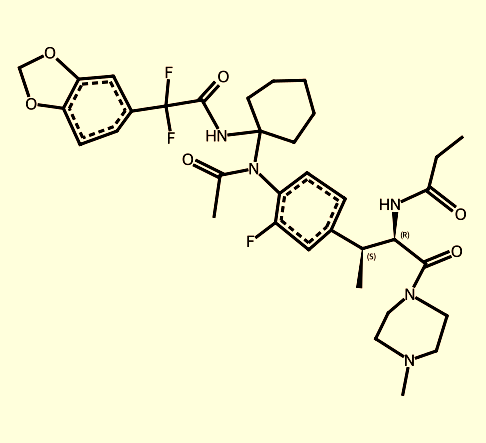 CCC(=O)N[C@@H](C(=O)N1CCN(C)CC1)[C@@H](C)c1ccc(N(C(C)=O)C2(NC(=O)C(F)(F)c3ccc4c(c3)OCO4)CCCCC2)c(F)c1